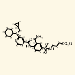 CCOC(=O)CCCNS(=O)(=O)c1ccc(NC(=O)c2cc(N(CC3CC3)C3CCCCC3)ncn2)c(CN)c1